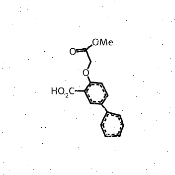 COC(=O)COc1ccc(-c2ccccc2)cc1C(=O)O